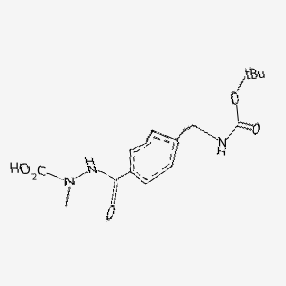 CN(NC(=O)c1ccc(CNC(=O)OC(C)(C)C)cc1)C(=O)O